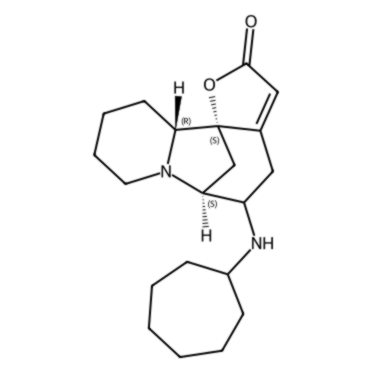 O=C1C=C2CC(NC3CCCCCC3)[C@@H]3C[C@@]2(O1)[C@H]1CCCCN31